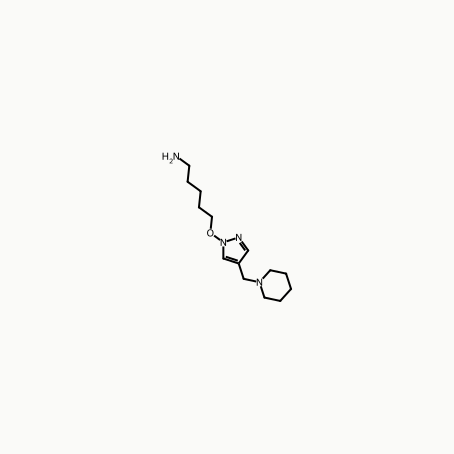 NCCCCCOn1cc(CN2CCCCC2)cn1